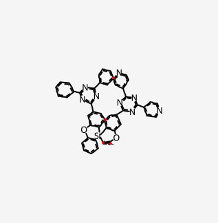 c1ccc(-c2nc(-c3ccccc3)nc(-c3ccc4c(c3)Oc3ccccc3[Si]43c4ccccc4Oc4cc(-c5nc(-c6ccncc6)nc(-c6ccncc6)n5)ccc43)n2)cc1